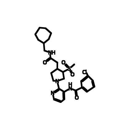 CS(=O)(=O)C1CN(c2ncccc2NC(=O)c2cccc(Cl)c2)CCC1CC(=O)NCC1CCCCCC1